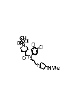 CNC1CCN(CCCN(C(=O)C2CCN(S(C)(=O)=O)CC2)c2ccc(Cl)c(Cl)c2)CC1